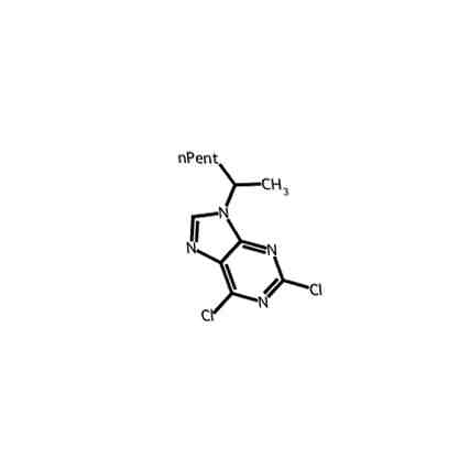 CCCCCC(C)n1cnc2c(Cl)nc(Cl)nc21